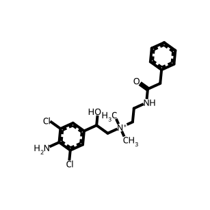 C[N+](C)(CCNC(=O)Cc1ccccc1)CC(O)c1cc(Cl)c(N)c(Cl)c1